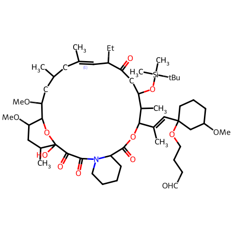 CCC1/C=C(\C)CC(C)CC(OC)C2OC(O)(C(=O)C(=O)N3CCCCC3C(=O)OC(C(C)=CC3(OCCCC=O)CCCC(OC)C3)C(C)C(O[Si](C)(C)C(C)(C)C)CC1=O)C(C)CC2OC